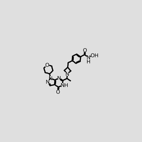 CC(c1nc2c(cnn2C2CCOCC2)c(=O)[nH]1)N1CC(Cc2ccc(C(=O)NO)cc2)C1